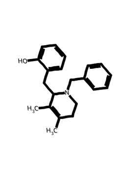 CC1=C(C)C(Cc2ccccc2O)N(Cc2ccccc2)CC1